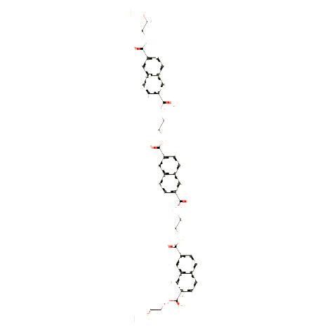 O=C(OCCO)c1ccc2cc(C(=O)OCCOC(=O)c3ccc4cc(C(=O)OCCOC(=O)c5ccc6ccc(C(=O)OCCO)cc6c5)ccc4c3)ccc2c1